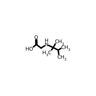 CC(C)C(C)(C)NCC(=O)O